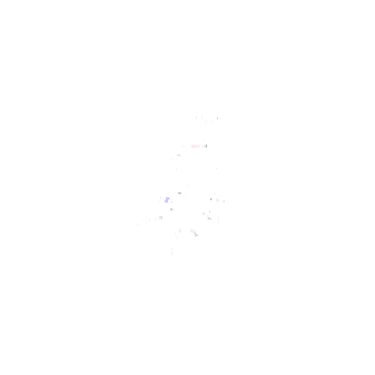 COC(=O)CCC(=O)C1(Cl)C=C(Cl)C(=O)NC1OC